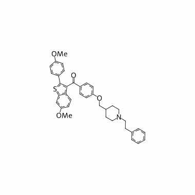 COc1ccc(-c2sc3cc(OC)ccc3c2C(=O)c2ccc(OCC3CCN(CCc4ccccc4)CC3)cc2)cc1